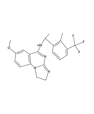 COc1ccc2c(c1)C(NC(C)c1cccc(C(F)(F)F)c1C)=NC1=NCCN12